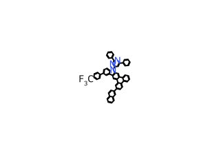 FC(F)(F)c1ccc(-c2ccc3c(c2)c2cc4c5cc(-c6ccc7ccccc7c6)ccc5c5ccccc5c4cc2n3-c2cc(-c3ccccc3)nc(-c3ccccc3)n2)cc1